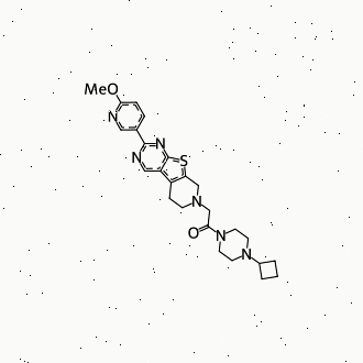 COc1ccc(-c2ncc3c4c(sc3n2)CN(CC(=O)N2CCN(C3CCC3)CC2)CC4)cn1